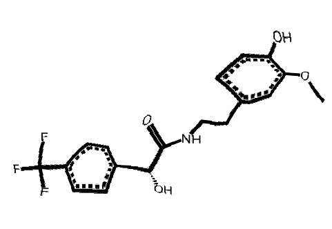 COc1cc(CCNC(=O)[C@H](O)c2ccc(C(F)(F)F)cc2)ccc1O